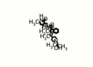 COc1cc(C)[nH]c(=O)c1CNC(=O)c1c(C)n([C@H](C)C2CCN(CC(C)(C)O)CC2)c2ccccc12